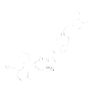 CSc1ccc(F)cc1C1CC(F)CN1c1ccc2ncc(C(=O)NC3CCN(Cc4ccc(F)c(O)c4)CC3)n2n1